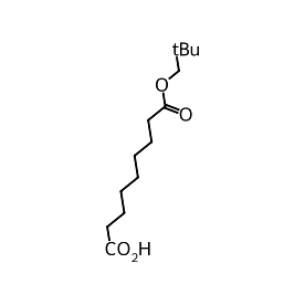 CC(C)(C)COC(=O)CCCCCCCC(=O)O